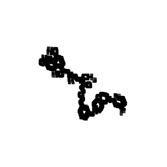 CN(CCNC[C@H](O)c1ccc(O)c2[nH]c(=O)ccc12)C(=O)CCOCCc1cccc(CN2CCC3(CC2)CN(c2cc(F)ccn2)CCO3)c1